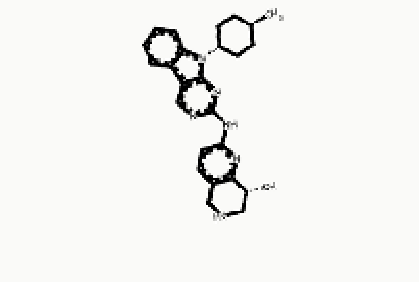 C[C@H]1CC[C@H](n2c3ccccc3c3cnc(Nc4ccc5c(n4)[C@H](O)CNC5)nc32)CC1